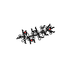 CCCC(=O)OCC(COCC(COCC(COCC(COC(=O)CCC)(COC(=O)CCC)COC(=O)CCC)(COC(=O)CCC)COC(=O)CCC)(COC(=O)CCC)COC(=O)CCC)(COCC(COCC(COC(=O)CCC)(COC(=O)CCC)COC(=O)CCC)(COC(=O)CCC)COC(=O)CCC)COC(=O)CCC